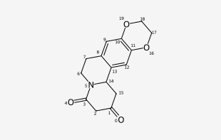 O=C1CC(=O)N2CCc3cc4c(cc3C2C1)OCCO4